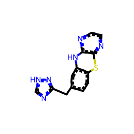 c1cnc2c(n1)Nc1cc(Cc3nc[nH]n3)ccc1S2